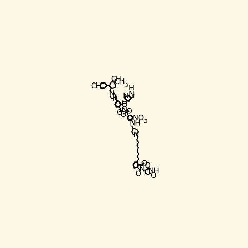 CC1(C)CCC(CN2CCN(c3ccc(C(=O)NS(=O)(=O)c4ccc(NCC5CCN(CCCCCCCCCc6cccc7c6C(=O)N(C6CCC(=O)NC6=O)C7=O)CC5)c([N+](=O)[O-])c4)c(Oc4cnc5[nH]ccc5c4)c3)CC2)=C(c2ccc(Cl)cc2)C1